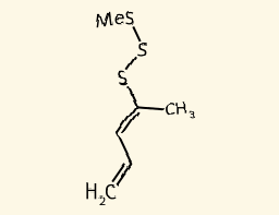 C=C/C=C(\C)SSSC